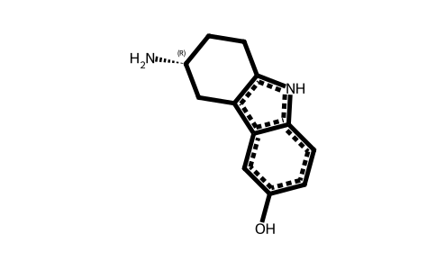 N[C@@H]1CCc2[nH]c3ccc(O)cc3c2C1